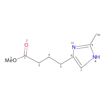 COC(=O)CCCc1c[nH]c(C)n1